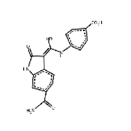 CCCC(Nc1ccc(C(=O)O)cc1)=C1C(=O)Nc2cc(C(N)=O)ccc21